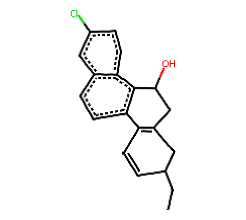 CCC1C=CC2=C(C1)CC(O)c1c2ccc2cc(Cl)ccc12